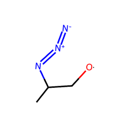 CC(C[O])N=[N+]=[N-]